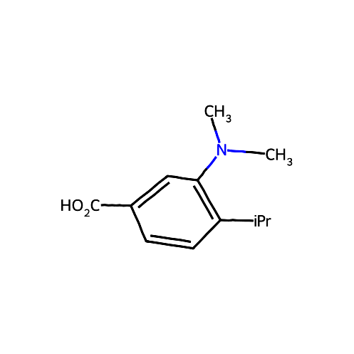 CC(C)c1ccc(C(=O)O)cc1N(C)C